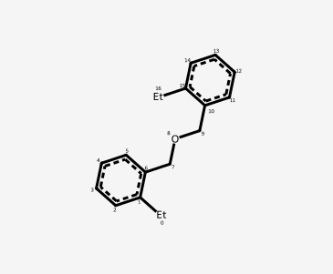 CCc1ccccc1COCc1ccccc1CC